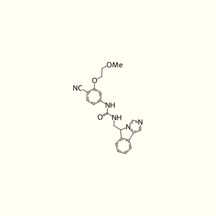 COCCOc1cc(NC(=O)NCC2c3ccccc3-c3cncn32)ccc1C#N